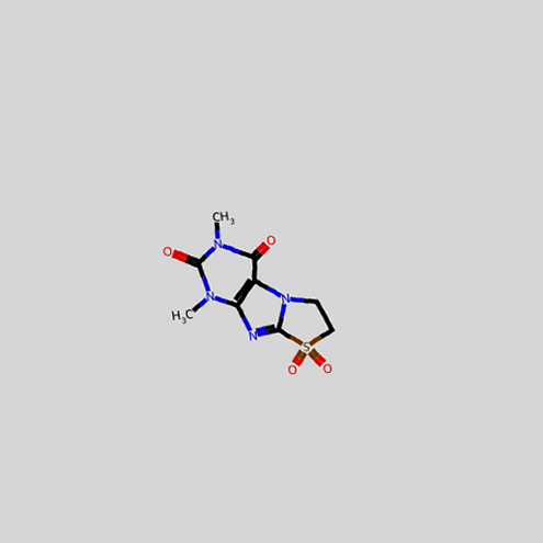 Cn1c(=O)c2c(nc3n2CCS3(=O)=O)n(C)c1=O